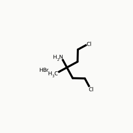 Br.CC(N)(CCCl)CCCl